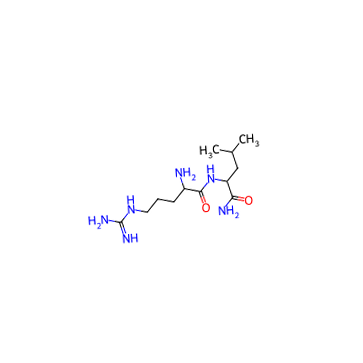 CC(C)CC(NC(=O)C(N)CCCNC(=N)N)C(N)=O